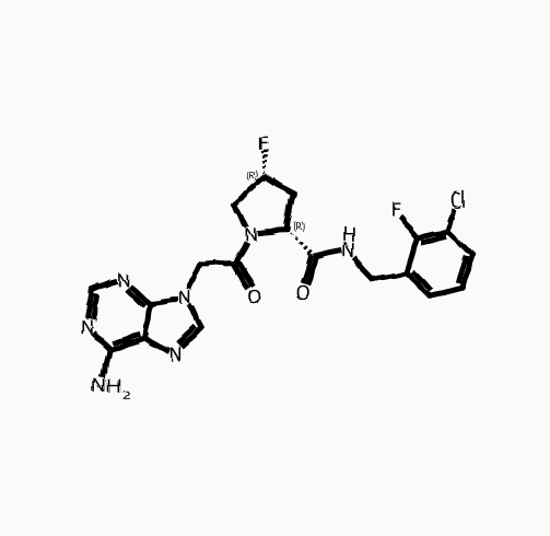 Nc1ncnc2c1ncn2CC(=O)N1C[C@H](F)C[C@@H]1C(=O)NCc1cccc(Cl)c1F